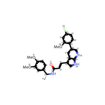 COc1ccc([C@@H](C)NC(=O)/C=C/c2c[nH]c3ncc(-c4ccc(F)cc4OC)cc23)cc1OC